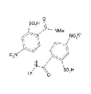 CCNC(=O)c1ccc([N+](=O)[O-])cc1S(=O)(=O)O.CNC(=O)c1ccc([N+](=O)[O-])cc1S(=O)(=O)O.[K+]